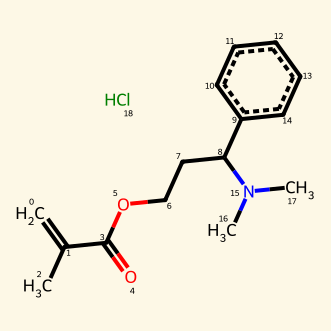 C=C(C)C(=O)OCCC(c1ccccc1)N(C)C.Cl